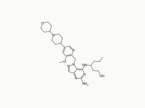 CCCC(CCO)Nc1nc(N)nc2cnn(Cc3ncc(C4CCN(C5CCOCC5)CC4)cc3OC)c12